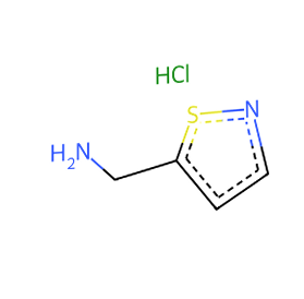 Cl.NCc1ccns1